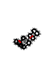 c1ccc(-c2cccc3c2sc2c(N(c4ccc(-c5cccc6cccc(-c7ccccc7)c56)cc4)c4cccc(-n5c6ccccc6c6ccccc65)c4)cccc23)cc1